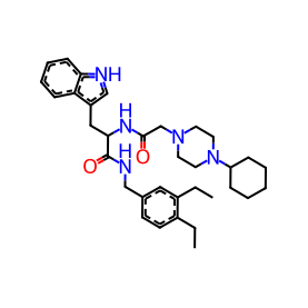 CCc1ccc(CNC(=O)C(Cc2c[nH]c3ccccc23)NC(=O)CN2CCN(C3CCCCC3)CC2)cc1CC